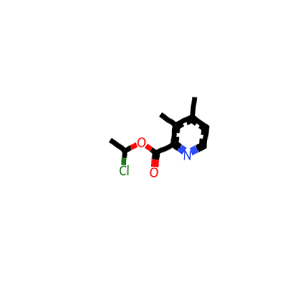 Cc1ccnc(C(=O)OC(C)Cl)c1C